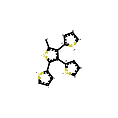 Cc1sc(-c2cccs2)c(-c2cccs2)c1-c1cccs1